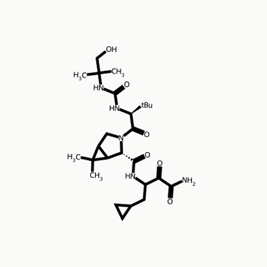 CC(C)(CO)NC(=O)N[C@H](C(=O)N1CC2C([C@H]1C(=O)NC(CC1CC1)C(=O)C(N)=O)C2(C)C)C(C)(C)C